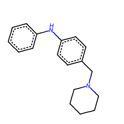 c1ccc(Nc2ccc(CN3CCCCC3)cc2)cc1